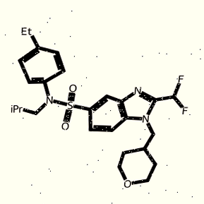 CCc1ccc(N(CC(C)C)S(=O)(=O)c2ccc3c(c2)nc(C(F)F)n3CC2CCOCC2)cc1